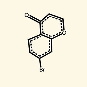 O=c1ccoc2cc(Br)ccc12